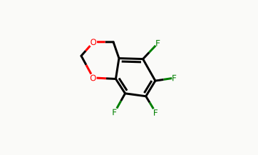 Fc1c(F)c(F)c2c(c1F)COCO2